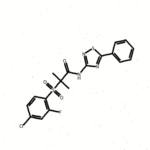 CC(C)(C(=O)Nc1nsc(-c2ccccc2)n1)S(=O)(=O)c1ccc(Cl)cc1F